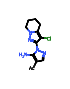 CC(=O)c1cnn(-c2nn3c(c2Cl)CCCC3)c1N